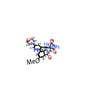 COc1ccc2c(c1)C(=O)N(C[C@@]1(C#Cc3cncc(N4CCOCC4)c3)NC(=O)NC1=O)C2